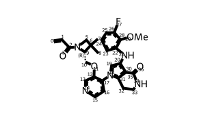 C=CC(=O)N1CC(C)(C)[C@@H]1COc1cnccc1-n1cc(Nc2cccc(F)c2OC)c2c1CCNC2=O